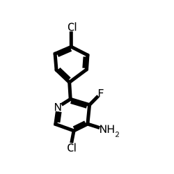 Nc1c(Cl)cnc(-c2ccc(Cl)cc2)c1F